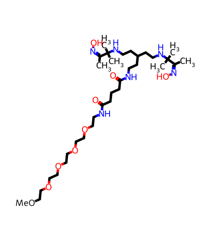 COCCOCCOCCOCCOCCNC(=O)CCCC(=O)NCCC(CCNC(C)(C)/C(C)=N\O)CCNC(C)(C)/C(C)=N\O